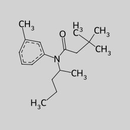 CCCC(C)N(C(=O)CC(C)(C)C)c1cccc(C)c1